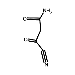 N#CC(=O)CC(N)=O